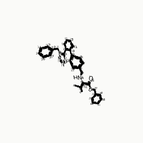 CC(C)[C@H](NCc1ccc(-c2ccccc2-c2nnnn2Cc2ccccc2)cc1)C(=O)OCc1ccccc1